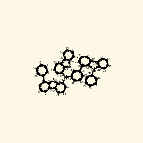 c1ccc(-c2cccc3c2sc2c(N(c4cccc(-c5cccc6c7ccccc7n(-c7ccccc7)c56)c4)c4cccc5c4sc4ccccc45)cccc23)cc1